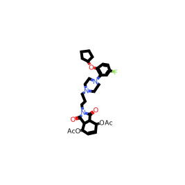 CC(=O)OC1C=CC(OC(C)=O)C2C(=O)N(CCCN3CCN(c4cc(F)ccc4OC4CCCC4)CC3)C(=O)C12